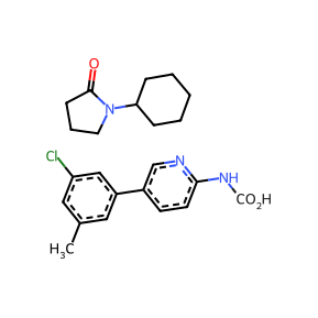 Cc1cc(Cl)cc(-c2ccc(NC(=O)O)nc2)c1.O=C1CCCN1C1CCCCC1